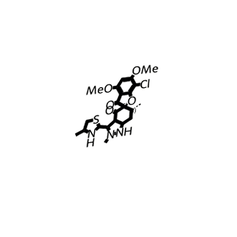 COc1cc(OC)c2c(c1Cl)O[C@]1(C2=O)C(=O)C2C(C[C@H]1C)NN(C)C2C1NC(C)CS1